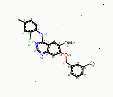 COc1cc2c(Nc3ccc(C)cc3F)ncnc2cc1OCc1cccc(C#N)c1